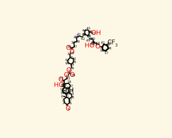 CC12CCC(=O)C=C1CC[C@@H]1C2=CCC2(C)[C@H]1CC[C@]2(O)C(=O)COC(=O)OCC1CCC(COC(=O)CCC/C=C\C[C@H]2CC[C@@H](O)[C@@H]2/C=C/[C@@H](O)COc2cccc(C(F)(F)F)c2)CC1